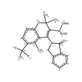 CON(C=O)C1=C(N2Cc3ccccc3C2=O)c2c(ccc(C(F)(F)C(F)(F)F)c2C)OC1(C)C